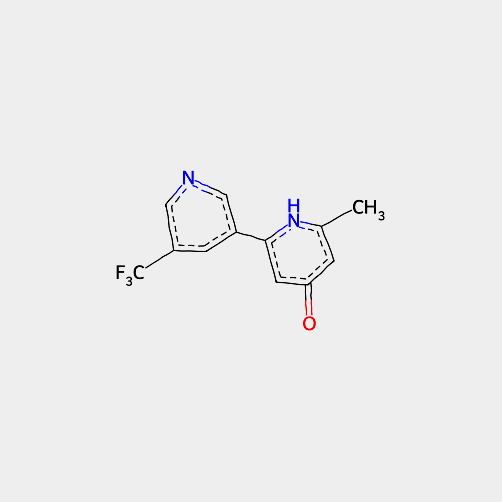 Cc1cc(=O)cc(-c2cncc(C(F)(F)F)c2)[nH]1